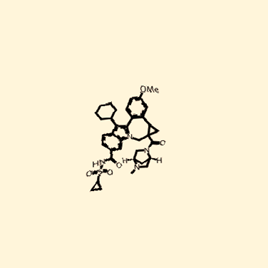 COc1ccc2c(c1)C1CC1(C(=O)N1C[C@@H]3C[C@H]1CN3C)Cn1c-2c(C2CCCCC2)c2ccc(C(=O)NS(=O)(=O)C3CC3)cc21